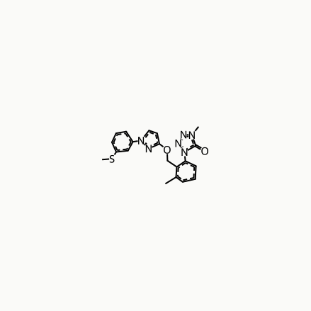 CSc1cccc(-n2ccc(OCc3c(C)cccc3-n3nnn(C)c3=O)n2)c1